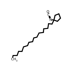 CCCCCCCCCCCCCCCCCC1(N=C=O)CCCC1